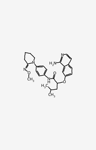 CO/N=C1/CCCCN1c1ccc(NC(=O)C(CC(C)C)Oc2ccc3ccnc(N)c3c2)cc1